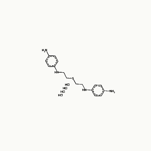 Cl.Cl.Cl.Cl.Nc1ccc(NCCSCCNc2ccc(N)cc2)cc1